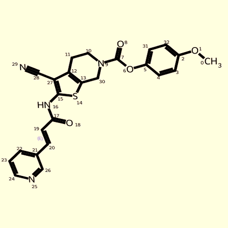 COc1ccc(OC(=O)N2CCc3c(sc(NC(=O)/C=C/c4cccnc4)c3C#N)C2)cc1